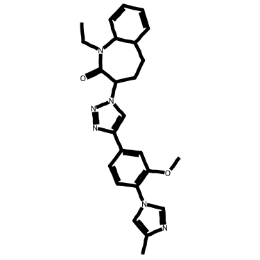 CCN1C(=O)C(n2cc(-c3ccc(-n4cnc(C)c4)c(OC)c3)nn2)CCC2C=CC=CC21